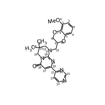 COc1cccc2c1OCC(CN1CC(C)(C)Cn3c1nc(-c1ccncn1)cc3=O)O2